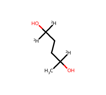 [2H]C([2H])(O)CCC([2H])(C)O